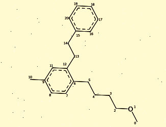 COCCCCc1ccc(C)cc1CCc1ccccc1